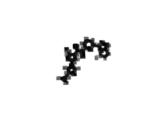 C[C@H]1CCc2nnc(-c3cccc(NC(=O)c4cc(-n5cnc(C6CC6)c5)sc4F)n3)n21